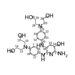 Nc1nc(Nc2ccc(N(CCO)CCO)cc2)c(Nc2ccc(N(CCO)CCO)cc2)cc1O